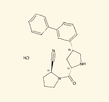 Cl.N#C[C@@H]1CCCN1C(=O)[C@@H]1C[C@H](c2cccc(-c3ccccc3)c2)CN1